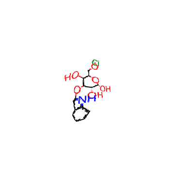 O[C@@H]1[C@@H](Oc2cc3ccccc3[nH]2)[C@@H](O)[C@@H](COCl)O[C@@H]1O